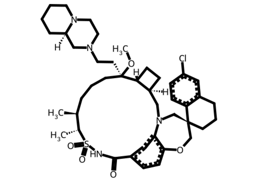 CO[C@]1(CCN2CCN3CCCC[C@@H]3C2)CCC[C@H](C)[C@@H](C)S(=O)(=O)NC(=O)c2ccc3c(c2)N(C[C@@H]2CC[C@H]21)C[C@@]1(CCCc2cc(Cl)ccc21)CO3